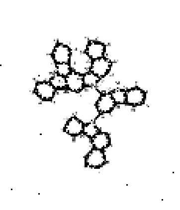 c1ccc2c(c1)ccc1c2c2ccccc2n1-c1cc(-n2c3ccc4ccccc4c3c3c4c5ccccc5n5c6ccccc6c(cc32)c45)c2sc3ccccc3c2c1